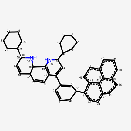 C1=CC(C2=CC(C3CCCCC3)NC3=C2C=CC2C=C[C@@H](C4CCCCC4)NC32)=CC(c2ccc3ccc4cccc5ccc2c3c45)C1